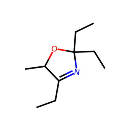 CCC1=NC(CC)(CC)OC1C